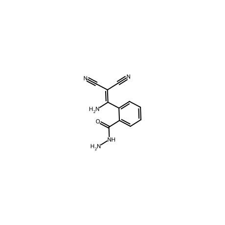 N#CC(C#N)=C(N)c1ccccc1C(=O)NN